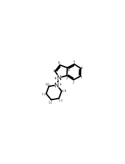 c1ccc2c(c1)ccn2N1CCCCC1